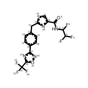 O=C(NC(F)C(F)F)c1csc(Cc2ccc(-c3noc(C(F)(F)F)n3)cc2)n1